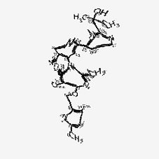 Cc1cnc(COc2nc(C)n(-c3cc(-c4ccnc(C(C)(C)O)n4)ncc3C#N)c(=O)c2Cl)c(F)c1